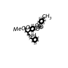 COC(=O)CC(CNCc1ccccc1)c1ccc(OS(=O)(=O)c2ccc(C)cc2)cc1